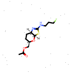 CC(=O)OC[C@H]1[C][C][C@H]2N=C(NCCCF)S[C@H]2O1